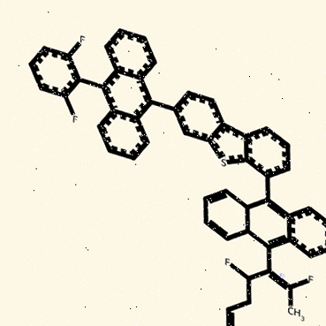 C=CCC(F)/C(C1=c2ccccc2=C(c2cccc3c2sc2cc(-c4c5ccccc5c(-c5c(F)cccc5F)c5ccccc45)ccc23)C2C=CC=CC12)=C(\C)F